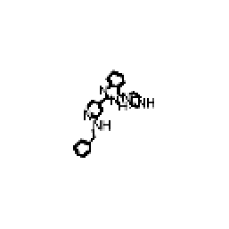 c1ccc(CCNc2cc(-c3nc(N4CC5C[C@H]4CN5)c4ccccc4n3)ccn2)cc1